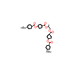 CCCCc1ccc(C(=O)Oc2ccc(C(=O)OCC(C)OC(=O)c3ccc(OC(=O)c4ccc(CCCC)cc4)cc3)cc2)cc1